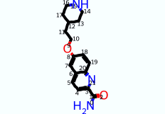 NC(=O)c1ccc2cc(OCCC3CCNCC3)c[c]c2n1